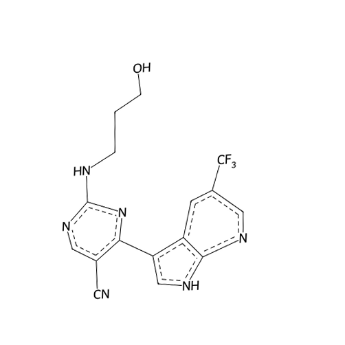 N#Cc1cnc(NCCCO)nc1-c1c[nH]c2ncc(C(F)(F)F)cc12